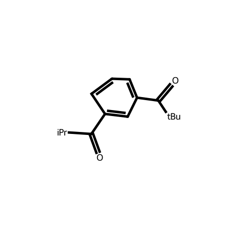 CC(C)C(=O)c1cccc(C(=O)C(C)(C)C)c1